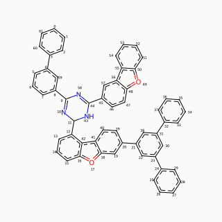 c1ccc(-c2cccc(C3=NC(c4cccc5oc6cc(-c7cc(-c8ccccc8)cc(-c8ccccc8)c7)ccc6c45)NC(c4ccc5oc6ccccc6c5c4)=N3)c2)cc1